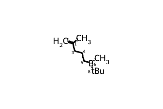 C=C(C)CCCB(C)C(C)(C)C